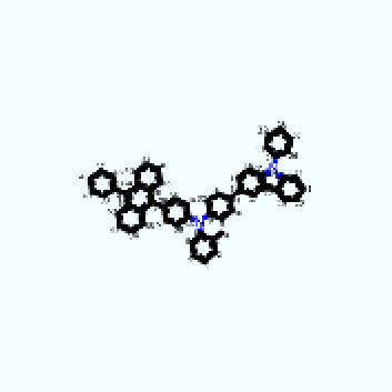 Cc1ccccc1N(c1ccc(-c2ccc3c(c2)c2ccccc2n3-c2ccccc2)cc1)c1ccc(-c2c3ccccc3c(-c3ccccc3)c3ccccc23)cc1